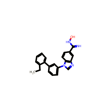 CCc1ccccc1-c1cccc(-n2cnc3cc(C(=N)NO)ccc32)c1